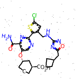 NC(=O)c1nc(-c2sc(Cl)cc2CNc2noc(CC3CCC3)n2)ncc1O[C@H]1CCC[C@H](C(=O)O)C1